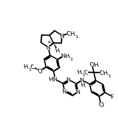 COc1cc(N2CCC3CN(C)C[C@@H]32)c(N)cc1Nc1ncnc(Nc2cc(Cl)c(F)cc2C(C)(C)O)n1